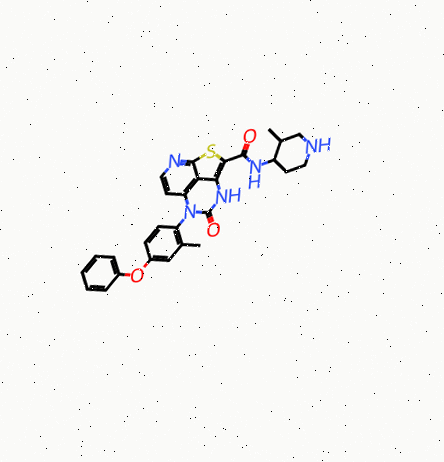 Cc1cc(Oc2ccccc2)ccc1N1C(=O)Nc2c(C(=O)NC3CCNCC3C)sc3nccc1c23